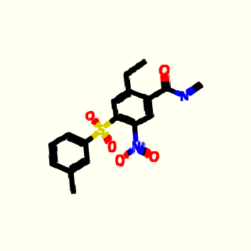 C=NC(=O)c1cc([N+](=O)[O-])c(S(=O)(=O)c2cccc(C)c2)cc1CC